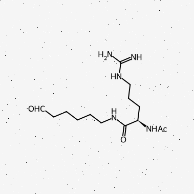 CC(=O)N[C@H](CCCNC(=N)N)C(=O)NCCCCC[C]=O